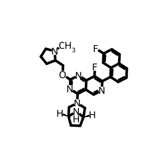 CN1CCCC1COc1nc(N2C[C@H]3CC[C@@H](C2)N3)c2cnc(-c3cccc4ccc(F)cc34)c(F)c2n1